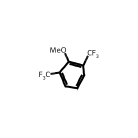 COc1c(C(F)(F)F)c[c]cc1C(F)(F)F